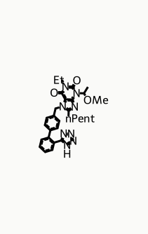 CCCCCc1nc2c(c(=O)n(CC)c(=O)n2C(C)OC)n1Cc1ccc(-c2ccccc2-c2nnn[nH]2)cc1